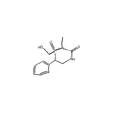 CN1C(=S)NCC(c2ccccc2)P1(=O)CO